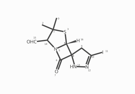 CC1(C)S[C@H]2N(C(=O)C23CC(I)=NN3)C1C=O